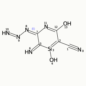 N#CC1=[Si](O)C(=N)/C(=N\N=N)N=C1O